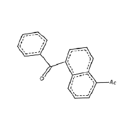 CC(=O)c1cccc2c(C(=O)c3ccccc3)cccc12